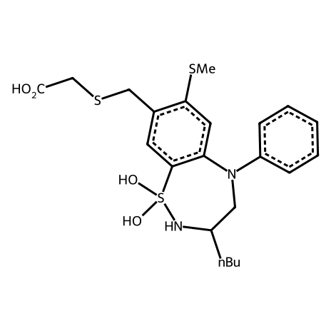 CCCCC1CN(c2ccccc2)c2cc(SC)c(CSCC(=O)O)cc2S(O)(O)N1